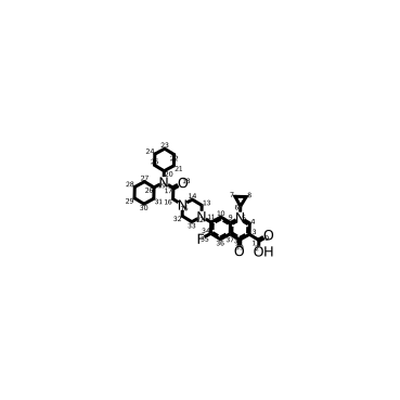 O=C(O)c1cn(C2CC2)c2cc(N3CCN(CC(=O)N(C4CCCCC4)C4CCCCC4)CC3)c(F)cc2c1=O